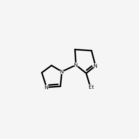 CCC1=NCCN1N1C=NCC1